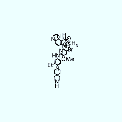 CCc1cc(Nc2ncc(Br)c(Nc3ccc4nccnc4c3NS(C)(=O)=O)n2)c(OC)cc1N1CCC2(CCNCC2)CC1